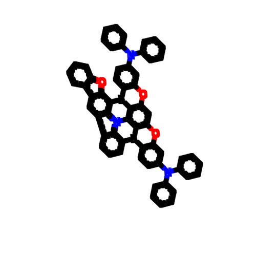 c1ccc(N(c2ccccc2)c2ccc3c(c2)Oc2cc4c5c6c2B3c2cccc3c7cc8c(oc9ccccc98)c(c7n-6c23)B5c2ccc(N(c3ccccc3)c3ccccc3)cc2O4)cc1